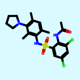 CC(=O)Nc1c(Cl)cc(Cl)cc1S(=O)(=O)Nc1c(C)cc(C)c(N2CCCC2)c1C